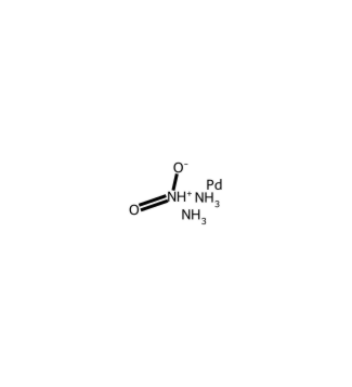 N.N.O=[NH+][O-].[Pd]